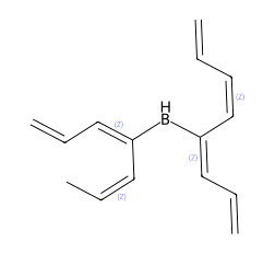 C=C/C=C\C(BC(/C=C\C)=C/C=C)=C/C=C